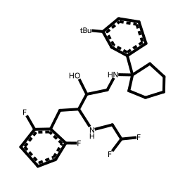 CC(C)(C)c1cccc(C2(NCC(O)C(Cc3c(F)cccc3F)NCC(F)F)CCCCC2)c1